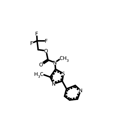 Cc1nc(-c2cccnc2)sc1N(C)C(=O)OCC(F)(F)F